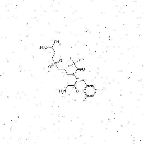 CC(C)CCS(=O)(=O)CCCN(C(=O)C(F)(F)F)[C@@H](Cc1cc(F)cc(F)c1)[C@@H](O)CN